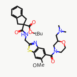 COc1cc2sc(CNC(=O)C3(C(=O)OC(C)(C)C)Cc4ccccc4C3)nc2cc1C(=O)N1CCOC(CN(C)C)C1